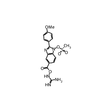 COc1ccc(-c2nc3cc(C(=O)ONC(=N)N)ccc3n2OS(C)(=O)=O)cc1